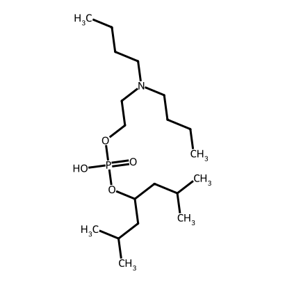 CCCCN(CCCC)CCOP(=O)(O)OC(CC(C)C)CC(C)C